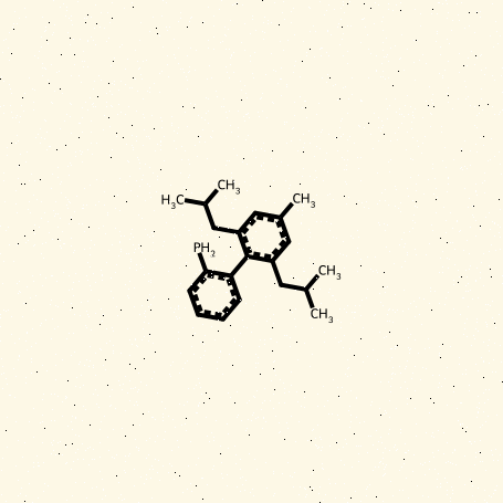 Cc1cc(CC(C)C)c(-c2ccccc2P)c(CC(C)C)c1